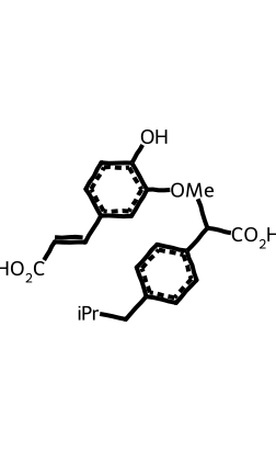 CC(C)Cc1ccc(C(C)C(=O)O)cc1.COc1cc(C=CC(=O)O)ccc1O